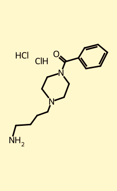 Cl.Cl.NCCCCN1CCN(C(=O)c2ccccc2)CC1